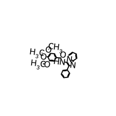 COc1cc(C(=O)Nc2c(-c3ccccc3)nc3ccccn23)cc(OC)c1OC